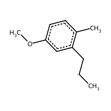 C[CH]Cc1cc(OC)ccc1C